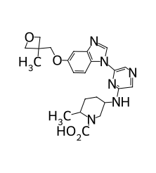 CC1CCC(Nc2cncc(-n3cnc4cc(OCC5(C)COC5)ccc43)n2)CN1C(=O)O